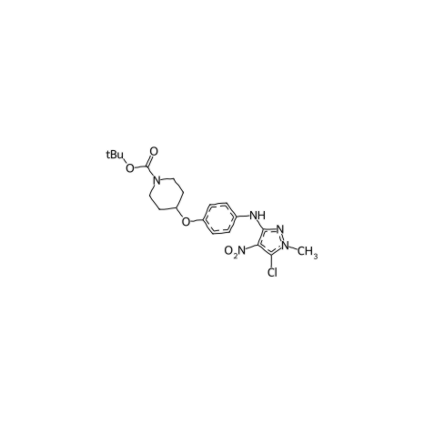 Cn1nc(Nc2ccc(OC3CCN(C(=O)OC(C)(C)C)CC3)cc2)c([N+](=O)[O-])c1Cl